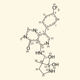 Cn1cnc2c(-c3ccc(C(F)(F)F)cc3)cnc(NCC3(C)CCNS3(O)O)c2c1=O